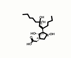 [2H][C@@](O)(C=C(CCCC)[C@@H]1[C@@H](O)[C@@H](CC(=O)O)C[C@H]1O)CCCCC